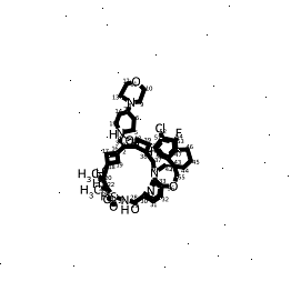 CO[C@@]1(CN2CCC(N3CCOCC3)CC2)C2=C[C@@H](C2)[C@H](C)[C@@H](C)S(=O)(=O)NC(=O)c2ccc3c(n2)N(C[C@@H]2CC[C@H]21)C[C@@]1(CCCc2c1ccc(Cl)c2F)CO3